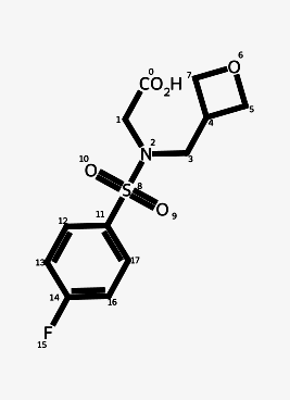 O=C(O)CN(CC1COC1)S(=O)(=O)c1ccc(F)cc1